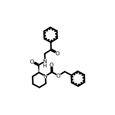 O=C(CNC(=O)[C@@H]1CCCCN1C(=O)OCc1ccccc1)c1ccccc1